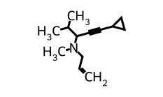 C=CCN(C)C(C#CC1CC1)C(C)C